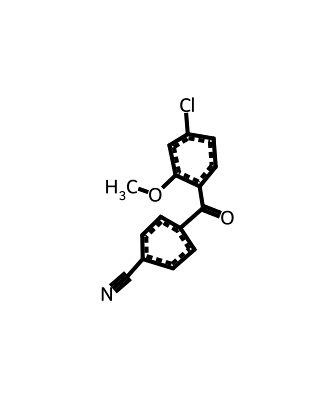 COc1cc(Cl)ccc1C(=O)c1ccc(C#N)cc1